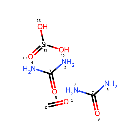 C=O.NC(N)=O.NC(N)=O.O=[Si](O)O